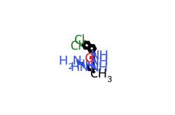 CC1CC(NCCN)NC(NC(=O)Nc2ccc3cc(Cl)c(Cl)cc3c2)N1